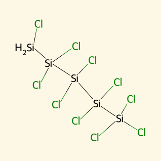 Cl[SiH2][Si](Cl)(Cl)[Si](Cl)(Cl)[Si](Cl)(Cl)[Si](Cl)(Cl)Cl